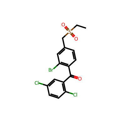 CCS(=O)(=O)Cc1ccc(C(=O)c2cc(Cl)ccc2Cl)c(Br)c1